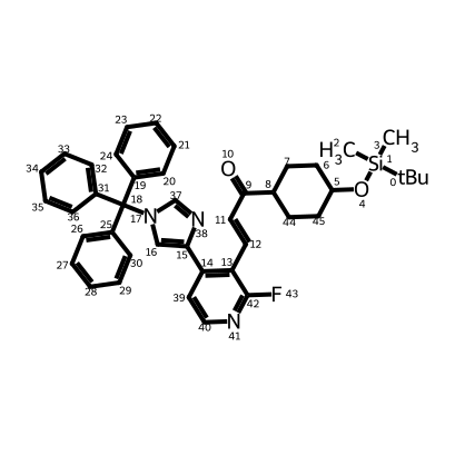 CC(C)(C)[Si](C)(C)OC1CCC(C(=O)C=Cc2c(-c3cn(C(c4ccccc4)(c4ccccc4)c4ccccc4)cn3)ccnc2F)CC1